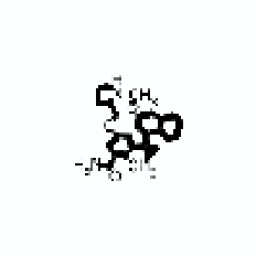 COc1cc(C2(c3cc(OCC4CCCN4)cc(C(N)=O)c3C)CC2)c2ccccc2c1